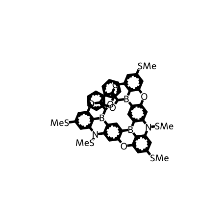 CSc1cc2c3c(c1)OC1c4ccccc4OC1B3c1cc3c(cc1O2)N(SC)c1cc(SC)cc2c1B3c1cc3c(cc1O2)N(SC)c1cc(SC)cc2c1B3C1Oc3ccccc3C1O2